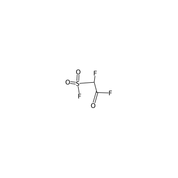 O=C(F)C(F)S(=O)(=O)F